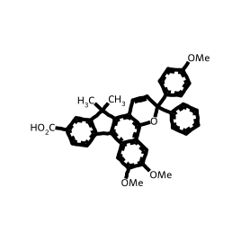 COc1ccc(C2(c3ccccc3)C=Cc3c4c(c5cc(OC)c(OC)cc5c3O2)-c2ccc(C(=O)O)cc2C4(C)C)cc1